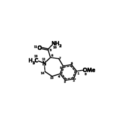 COc1[c]cc2c(c1)CC(C(N)=O)N(C)CC2